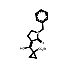 CCOC(=O)C1(/C(O)=C2/CCN(Cc3ccccc3)C2=O)CC1